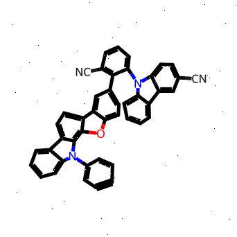 N#Cc1ccc2c(c1)c1ccccc1n2-c1cccc(C#N)c1-c1ccc2oc3c(ccc4c5ccccc5n(-c5cc#ccc5)c43)c2c1